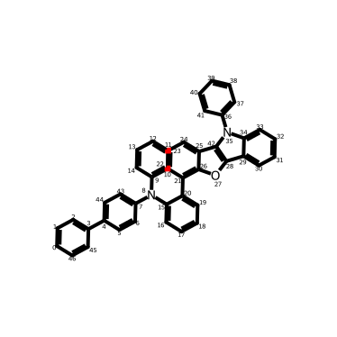 c1ccc(-c2ccc(N(c3ccccc3)c3ccccc3-c3cccc4c3oc3c5ccccc5n(-c5ccccc5)c43)cc2)cc1